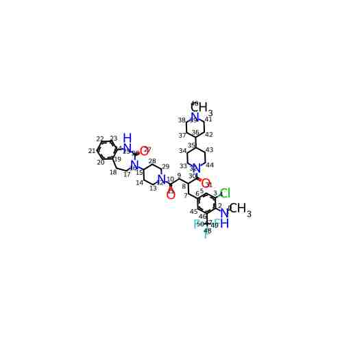 CNc1c(Cl)cc(CC(CC(=O)N2CCC(N3CCc4ccccc4NC3=O)CC2)C(=O)N2CCC(C3CCN(C)CC3)CC2)cc1C(F)(F)F